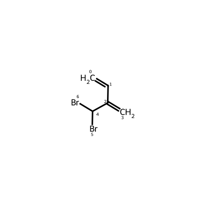 C=CC(=C)C(Br)Br